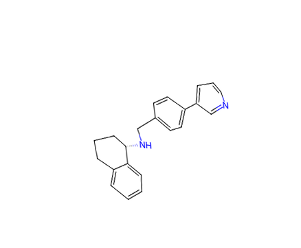 c1cncc(-c2ccc(CN[C@H]3CCCc4ccccc43)cc2)c1